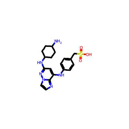 NC1CCC(Nc2cc(Nc3ccc(CS(=O)(=O)O)cc3)c3nccn3n2)CC1